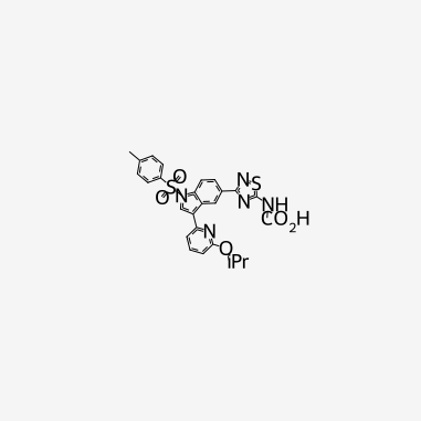 Cc1ccc(S(=O)(=O)n2cc(-c3cccc(OC(C)C)n3)c3cc(-c4nsc(NC(=O)O)n4)ccc32)cc1